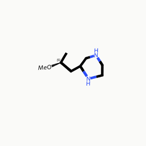 CO[C@@H](C)CC1CNCCN1